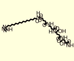 NC(=O)CCC(NC(=O)CCC(NC(=O)CCCNC(=O)CCCS(=O)(=O)NC(=O)CCCCCCCCCCCCCCCc1nnn[nH]1)C(=O)O)C(=O)O